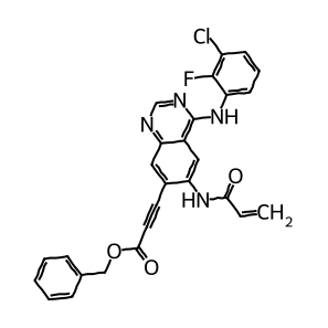 C=CC(=O)Nc1cc2c(Nc3cccc(Cl)c3F)ncnc2cc1C#CC(=O)OCc1ccccc1